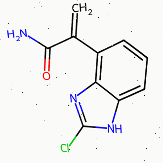 C=C(C(N)=O)c1cccc2[nH]c(Cl)nc12